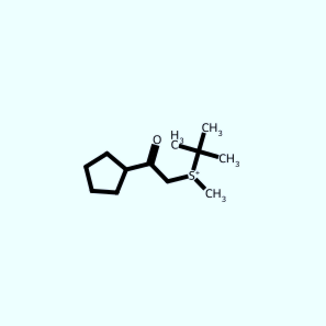 C[S+](CC(=O)C1CCCC1)C(C)(C)C